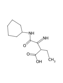 CCC(C(=N)C(=O)NC1CCCCC1)C(=O)O